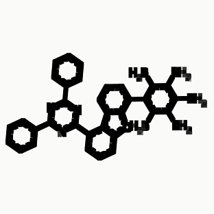 Bc1c(B)c(B)c(-c2cccc3c2oc2cccc(-c4nc(-c5ccccc5)nc(-c5ccccc5)n4)c23)c(B)c1B